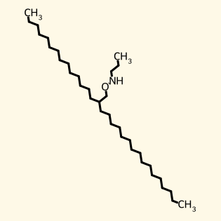 CCCCCCCCCCCCCCCCC(CCCCCCCCCCCCCC)CONCCC